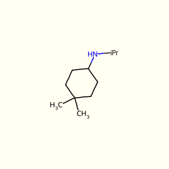 CC(C)NC1CCC(C)(C)CC1